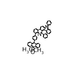 CP(C)(=O)c1c2ccccc2c(-c2ccc(-c3cccc4c3nc(-c3ccccc3)c3c4ccc4c3c3ccccc3n4-c3ccccc3)cc2)c2ccccc12